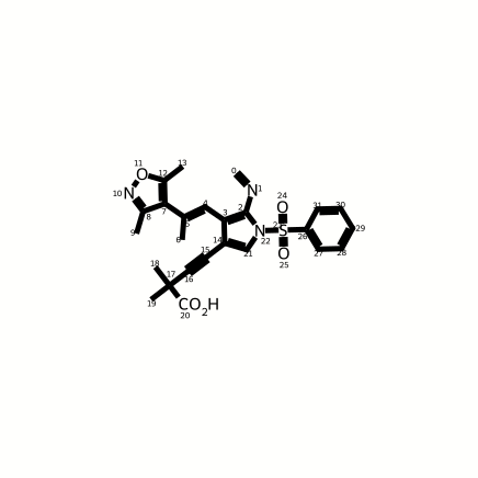 C=Nc1c(/C=C(\C)c2c(C)noc2C)c(C#CC(C)(C)C(=O)O)cn1S(=O)(=O)c1ccccc1